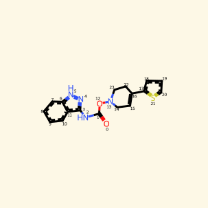 O=C(Nc1n[nH]c2ccccc12)ON1CC=C(c2cccs2)CC1